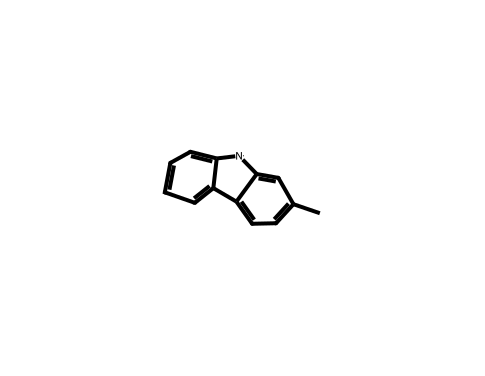 Cc1ccc2c(c1)[N]c1ccccc1-2